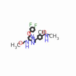 CCNC(=O)c1ccc(-c2cnc3c(NCCOC)cc(Oc4ccc(F)c(F)c4)nn23)cc1C